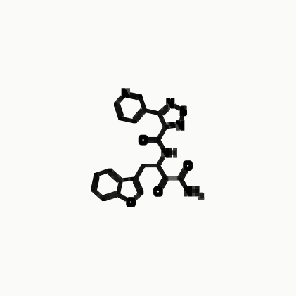 NC(=O)C(=O)C(Cc1coc2ccccc12)NC(=O)c1nsnc1-c1cccnc1